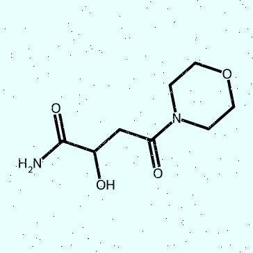 NC(=O)C(O)CC(=O)N1CCOCC1